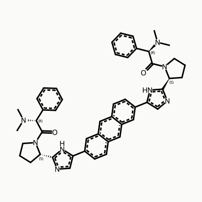 CN(C)[C@@H](C(=O)N1CCC[C@H]1c1ncc(-c2ccc3cc4cc(-c5cnc([C@@H]6CCCN6C(=O)[C@@H](c6ccccc6)N(C)C)[nH]5)ccc4cc3c2)[nH]1)c1ccccc1